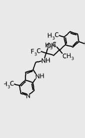 Cc1ccc(F)cc1C(C)(C)CC(O)(NCc1cc2c(C)cncc2[nH]1)C(F)(F)F